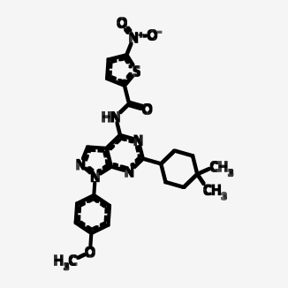 COc1ccc(-n2ncc3c(NC(=O)c4ccc([N+](=O)[O-])s4)nc(C4CCC(C)(C)CC4)nc32)cc1